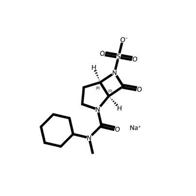 CN(C(=O)N1CC[C@@H]2[C@H]1C(=O)N2S(=O)(=O)[O-])C1CCCCC1.[Na+]